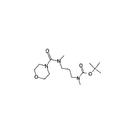 CN(CCCN(C)C(=O)N1CCOCC1)C(=O)OC(C)(C)C